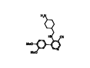 COc1ccc(-c2cncc(C#N)c2NCC2CCC(N)CC2)cc1OC